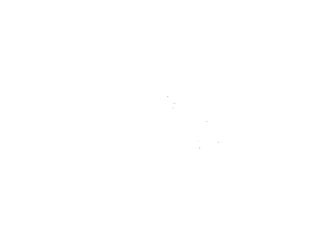 CCCCCOC(=O)C1=C(OC(=O)c2ccccc2)C=CC1